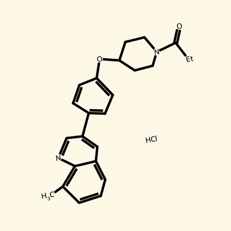 CCC(=O)N1CCC(Oc2ccc(-c3cnc4c(C)cccc4c3)cc2)CC1.Cl